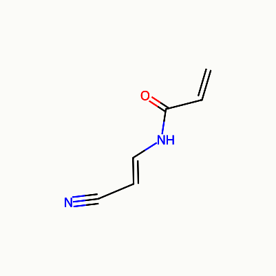 C=CC(=O)NC=CC#N